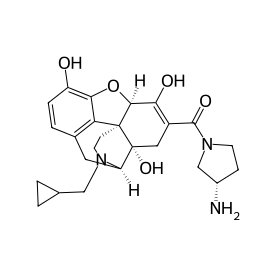 N[C@H]1CCN(C(=O)C2=C(O)[C@@H]3Oc4c(O)ccc5c4[C@@]34CCN(CC3CC3)[C@H](C5)[C@]4(O)C2)C1